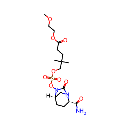 COCCOC(=O)CCC(C)(C)COS(=O)(=O)ON1C(=O)N2C[C@H]1CC[C@H]2C(N)=O